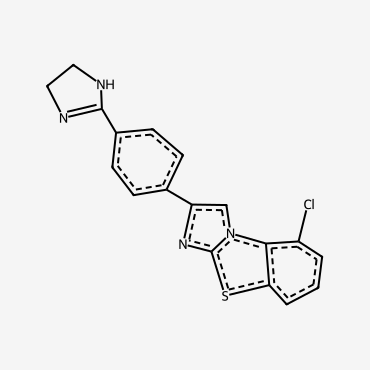 Clc1cccc2sc3nc(-c4ccc(C5=NCCN5)cc4)cn3c12